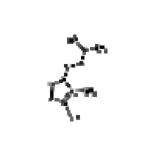 CC(O)CCC1C=CC(N)=C1N